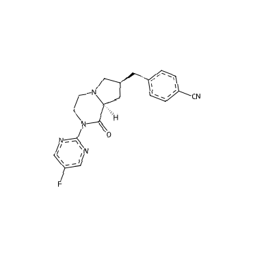 N#Cc1ccc(C[C@H]2C[C@H]3C(=O)N(c4ncc(F)cn4)CCN3C2)cc1